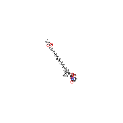 CC(C)(C)OC(=O)CCCCCCCCCCCCCCCCCCC(CCC(=O)ON1C(=O)CCC1=O)C(C)(C)C